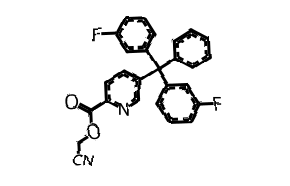 N#CCOC(=O)c1ccc(C(c2ccccc2)(c2cccc(F)c2)c2cccc(F)c2)cn1